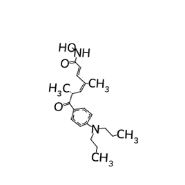 CCCN(CCC)c1ccc(C(=O)[C@H](C)C=C(C)C=CC(=O)NO)cc1